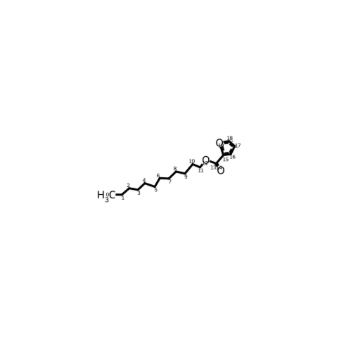 CCCCCCCCCCCCOC(=O)c1cc[c]o1